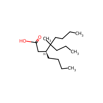 CCCC[C@@H](CC(=O)O)C(C)(CCC)CCCC